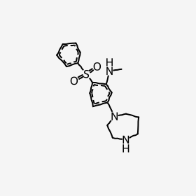 CNc1cc(N2CCCNCC2)ccc1S(=O)(=O)c1ccccc1